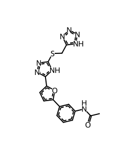 CC(=O)Nc1cccc(-c2ccc(-c3nnc(SCc4nnn[nH]4)[nH]3)o2)c1